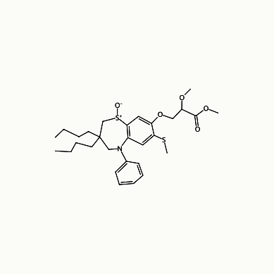 CCCCC1(CCCC)CN(c2ccccc2)c2cc(SC)c(OCC(OC)C(=O)OC)cc2[S+]([O-])C1